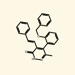 Cc1n[nH]c(=O)c(C=Cc2ccccc2)c1-c1ccccc1OCc1ccccc1